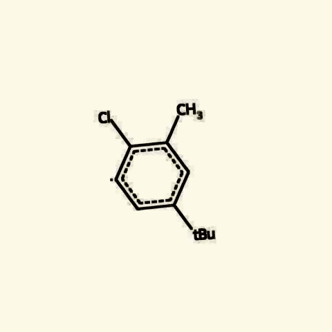 Cc1cc(C(C)(C)C)c[c]c1Cl